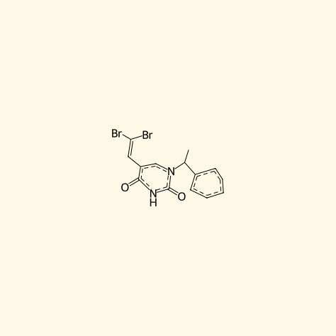 CC(c1ccccc1)n1cc(C=C(Br)Br)c(=O)[nH]c1=O